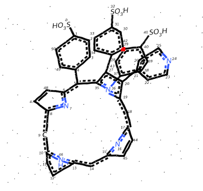 O=S(=O)(O)c1ccc(-c2c3nc(cc4ccc(cc5nc(cc6c(-c7ccncc7)c(-c7ccc(S(=O)(=O)O)cc7)c2n6-c2ccc(S(=O)(=O)O)cc2)C=C5)[nH]4)C=C3)cc1